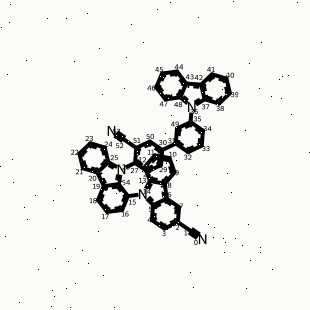 N#Cc1ccc2c(c1)c1ccccc1n2-c1cccc2c3ccccc3n(-c3ccc(-c4cccc(-n5c6ccccc6c6ccccc65)c4)cc3C#N)c12